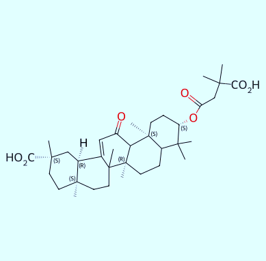 CC(C)(CC(=O)O[C@H]1CC[C@@]2(C)C(CC[C@]3(C)C2C(=O)C=C2[C@@H]4C[C@@](C)(C(=O)O)CC[C@]4(C)CCC23C)C1(C)C)C(=O)O